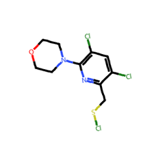 ClSCc1nc(N2CCOCC2)c(Cl)cc1Cl